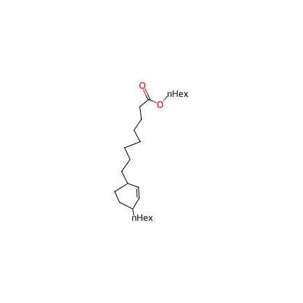 CCCCCCOC(=O)CCCCCCCC1C=CC(CCCCCC)CC1